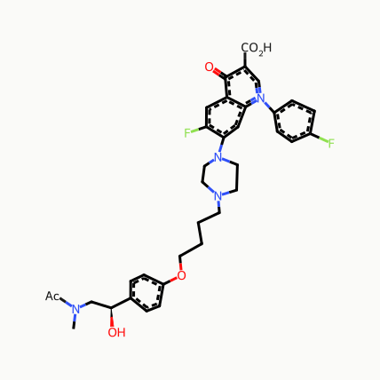 CC(=O)N(C)C[C@H](O)c1ccc(OCCCCN2CCN(c3cc4c(cc3F)c(=O)c(C(=O)O)cn4-c3ccc(F)cc3)CC2)cc1